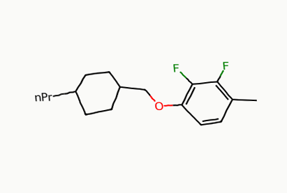 CCCC1CCC(COc2ccc(C)c(F)c2F)CC1